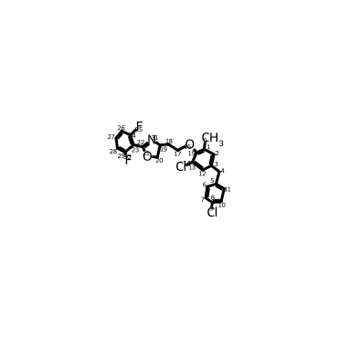 Cc1cc(Cc2ccc(Cl)cc2)cc(Cl)c1OCCC1COC(c2c(F)cccc2F)=N1